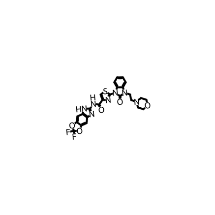 O=C(Nc1nc2cc3c(cc2[nH]1)OC(F)(F)O3)c1csc(-n2c(=O)n(CCN3CCOCC3)c3ccccc32)n1